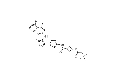 C[C@@H](OC(=O)Nc1c(-c2ccc(NC(=O)C3CC(NC(=O)OC(C)(C)C)C3)cn2)nnn1C)c1cccnc1Cl